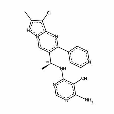 Cc1nn2cc([C@H](C)Nc3ncnc(N)c3C#N)c(-c3ccncc3)nc2c1Cl